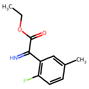 CCOC(=O)C(=N)c1cc(C)ccc1F